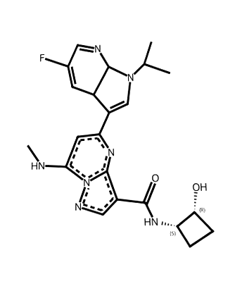 CNc1cc(C2=CN(C(C)C)C3N=CC(F)=CC23)nc2c(C(=O)N[C@H]3CC[C@H]3O)cnn12